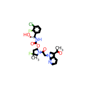 CC(=O)c1cn(CC(=O)N2C[C@](C)(F)C[C@@H]2OC(=O)N[C@H](CO)c2cccc(Cl)c2F)c2ncccc12